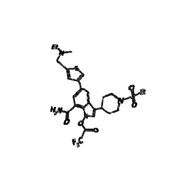 CCN(C)Cc1cc(-c2cc(C(N)=O)c3c(c2)c(C2CCN(S(=O)(=O)CC)CC2)cn3OC(=O)C(F)(F)F)cs1